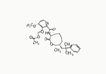 COc1ccnc(C(=O)N[C@H]2CCCC[C@@H](CC(C)(C)c3ccccc3)[C@H](C)OC2=O)c1OCOC(C)=O